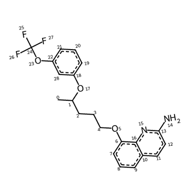 CC(CCCOc1cccc2ccc(N)nc12)Oc1cccc(OC(F)(F)F)c1